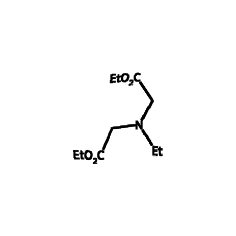 CCOC(=O)CN(CC)CC(=O)OCC